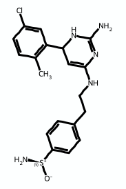 Cc1ccc(Cl)cc1C1C=C(NCCc2ccc([S@+](N)[O-])cc2)N=C(N)N1